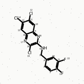 Fc1ccc(CNc2nc3cc(Cl)c(Cl)cc3nc2Cl)cc1F